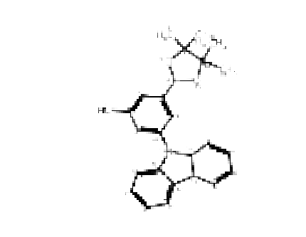 CC1(C)OB(c2cc(C#N)cc(N3c4ccccc4C4C=CC=CC43)c2)OC1(C)C